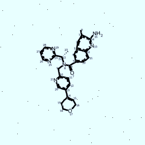 Cc1cc2cc(C(=O)N(Cc3ccc(C4=CCOCC4)cn3)[C@@H](C)c3ncccn3)ccc2nc1N